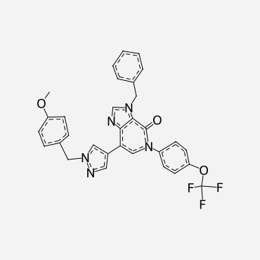 COc1ccc(Cn2cc(-c3cn(-c4ccc(OC(F)(F)F)cc4)c(=O)c4c3ncn4Cc3ccccc3)cn2)cc1